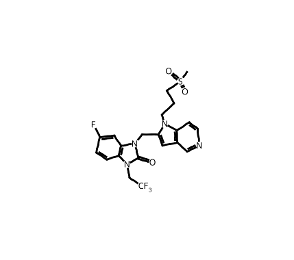 CS(=O)(=O)CCCn1c(Cn2c(=O)n(CC(F)(F)F)c3ccc(F)cc32)cc2cnccc21